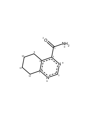 NC(=O)c1ncnc2c1CCCC2